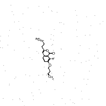 C=CCCOc1ccc2cc(CCCCCCCCCCCC)oc(=O)c2c1F